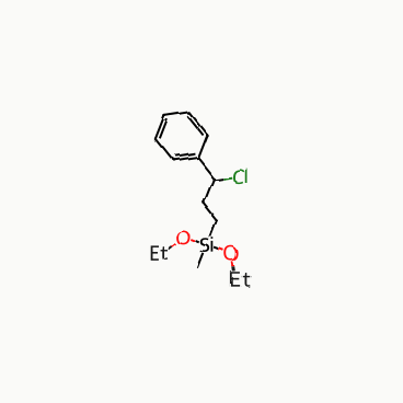 CCO[Si](C)(CCC(Cl)c1ccccc1)OCC